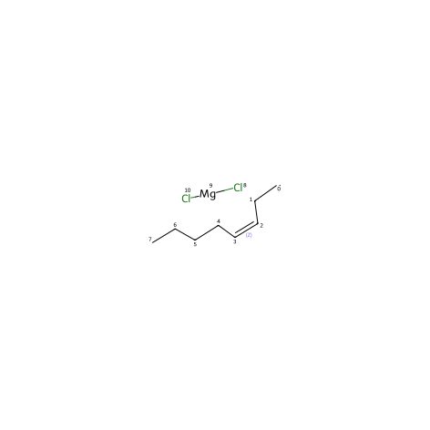 [CH2]C/C=C\CCCC.[Cl][Mg][Cl]